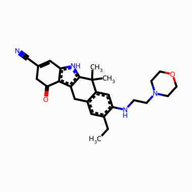 CCc1cc2c(cc1NCCN1CCOCC1)C(C)(C)c1[nH]c3c(c1C2)C(=O)CC(C#N)=C3